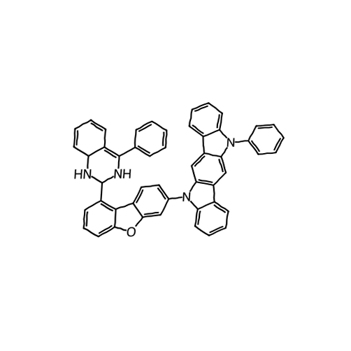 C1=CC2=C(c3ccccc3)NC(c3cccc4oc5cc(-n6c7ccccc7c7cc8c(cc76)c6ccccc6n8-c6ccccc6)ccc5c34)NC2C=C1